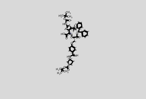 CC(C)(C)OC(=O)Nc1nc(/C(=N/O[C@@H](COc2ccc(C(=N)N[C@@H]3CCN(C(=O)OC(C)(C)C)C3)cc2)C(=O)OC(c2ccccc2)c2ccccc2)C(=O)O)c(C(F)(F)F)s1